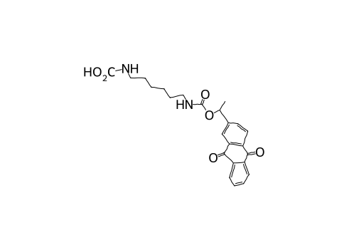 CC(OC(=O)NCCCCCCNC(=O)O)c1ccc2c(c1)C(=O)c1ccccc1C2=O